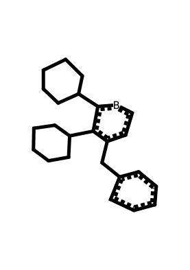 b1ccc(Cc2ccccc2)c(C2CCCCC2)c1C1CCCCC1